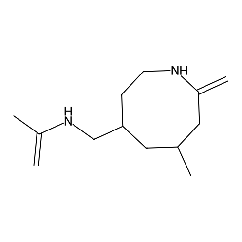 C=C(C)NCC1CCNC(=C)CC(C)C1